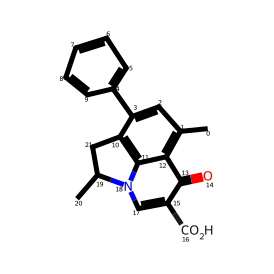 Cc1cc(-c2ccccc2)c2c3c1c(=O)c(C(=O)O)cn3C(C)C2